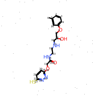 Cc1cccc(OCC(O)CNCCNC(=O)COc2ccc(S)nn2)c1